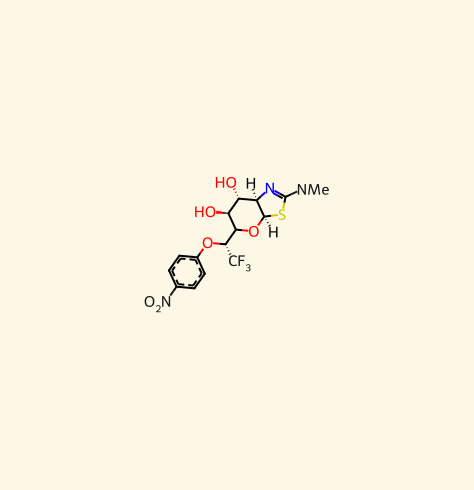 CNC1=N[C@@H]2[C@@H](O)[C@H](O)C([C@@H](Oc3ccc([N+](=O)[O-])cc3)C(F)(F)F)O[C@@H]2S1